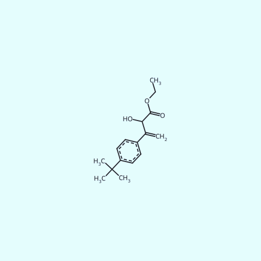 C=C(c1ccc(C(C)(C)C)cc1)C(O)C(=O)OCC